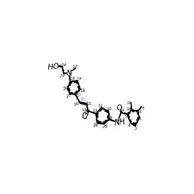 Cc1cccc(C(=O)Nc2ccc(C(=O)/C=C/c3ccc(N(C)CCO)cc3)cc2)c1C